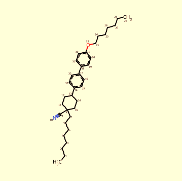 CCCCCCCCC1(C#N)CCC(c2ccc(-c3ccc(OCCCCCCC)cc3)cc2)CC1